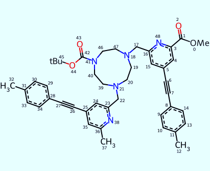 COC(=O)c1cc(C#Cc2ccc(C)cc2)cc(CN2CCN(Cc3cc(C#Cc4ccc(C)cc4)cc(C)n3)CCN(C(=O)OC(C)(C)C)CC2)n1